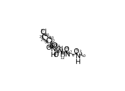 CC(C)NC(=O)CCNC(=O)[C@H](C)N1CC[C@H](NS(=O)(=O)c2ccc3cc(Cl)ccc3c2)C1=O